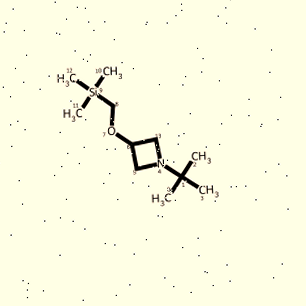 CC(C)(C)N1CC(OC[Si](C)(C)C)C1